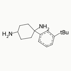 CC(C)(C)c1cccc(C2(N)CCC(N)CC2)c1